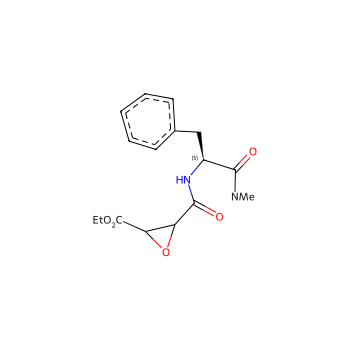 CCOC(=O)C1OC1C(=O)N[C@@H](Cc1ccccc1)C(=O)NC